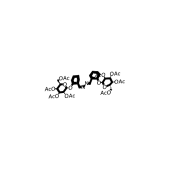 CC(=O)OC[C@@H]1O[C@@H](Oc2ccccc2/C=N/N=C\c2ccccc2O[C@H]2O[C@H](COC(C)=O)[C@H](OC(C)=O)[C@H](OC(C)=O)[C@H]2OC(C)=O)[C@@H](OC(C)=O)[C@H](OC(C)=O)[C@@H]1OC(C)=O